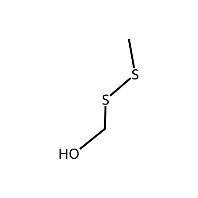 CSSCO